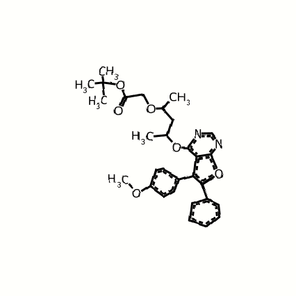 COc1ccc(-c2c(-c3ccccc3)oc3ncnc(OC(C)CC(C)OCC(=O)OC(C)(C)C)c23)cc1